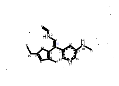 C=CN/C=C(\C1=C(C)C=C(CC)C1)c1cncc(NC)c1